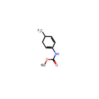 CC(C)(C)OC(=O)NC1=CCC(C(F)(F)F)C=C1